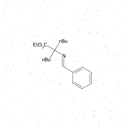 CCCCC(CCCC)(N=Cc1ccccc1)C(=O)OCC